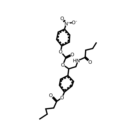 CCCCC(=O)Oc1ccc(C(CNC(=O)CCC)OC(=O)Oc2ccc([N+](=O)[O-])cc2)cc1